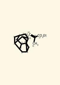 C1C2CC3C4CC5CC(C14)C(C2)C3C5.C=C(C)C(=O)OCC